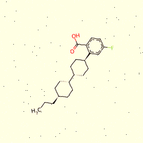 CCC[C@H]1CC[C@H]([C@H]2CC[C@H](c3cc(F)ccc3C(=O)O)CC2)CC1